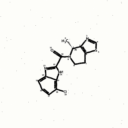 C[C@@H]1c2ncsc2CCN1C(=O)c1nc2cccc(Cl)c2[nH]1